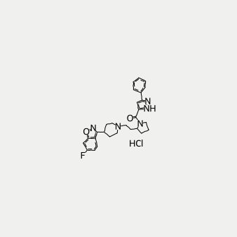 Cl.O=C(c1cc(-c2ccccc2)n[nH]1)N1CCCC1CCN1CCC(c2noc3cc(F)ccc23)CC1